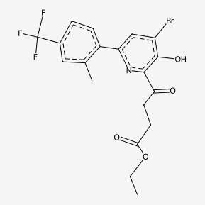 CCOC(=O)CCC(=O)c1nc(-c2ccc(C(F)(F)F)cc2C)cc(Br)c1O